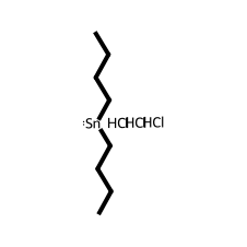 CCC[CH2][Sn][CH2]CCC.Cl.Cl.Cl